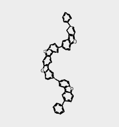 C1=CC(c2ccccc2)Cc2c1oc1ccc(-c3ccc4oc5cc6oc7ccc(-c8ccc9oc%10ccc(-c%11ccccc%11)cc%10c9c8)cc7c6cc5c4c3)cc21